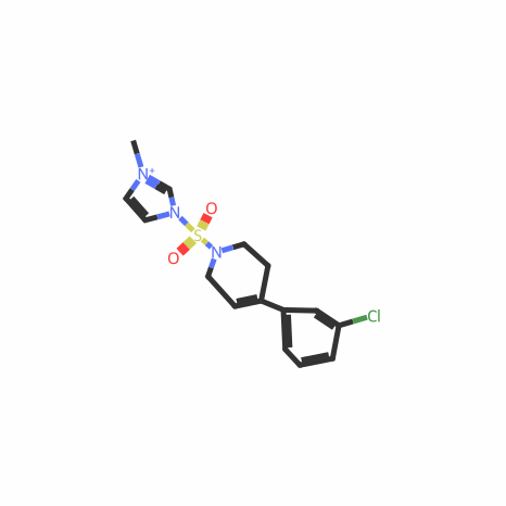 C[n+]1ccn(S(=O)(=O)N2CC=C(c3cccc(Cl)c3)CC2)c1